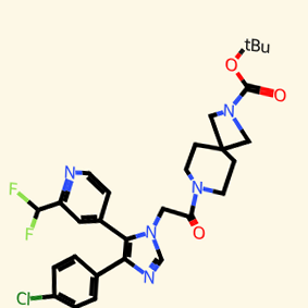 CC(C)(C)OC(=O)N1CC2(CCN(C(=O)Cn3cnc(-c4ccc(Cl)cc4)c3-c3ccnc(C(F)F)c3)CC2)C1